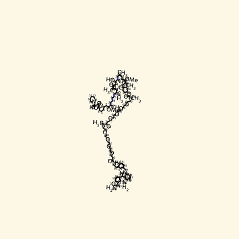 CO[C@@H](CC1CCC[C@](O)(C(=O)C(=O)N2CCCCC2)O1)/C(C)=C/C=C/C=C/[C@@H](C)C[C@@H](C)C(=O)C[C@H](O)/C(C)=C/[C@@H](C)CC[C@H](OC)[C@H](C)C[C@]1(C)CC[C@@H](OC(=O)N(C)CCOCCOCCOCCOCCC(=O)N(C)CCOCCOCCOCCOCCC(=O)N2CCc3cc(Cn4nc(-c5ccc6oc(N)nc6c5)c5c(N)ncnc54)ccc3C2)CC1